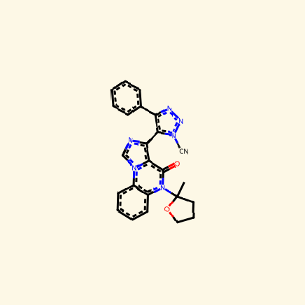 CC1(n2c(=O)c3c(-c4c(-c5ccccc5)nnn4C#N)ncn3c3ccccc32)CCCO1